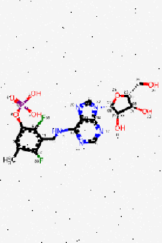 Cc1cc(OP(=O)(O)O)c(F)c(CNc2ncnc3c2ncn3[C@@H]2O[C@H](CO)[C@@H](O)[C@H]2O)c1F